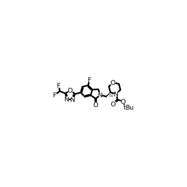 CC(C)(C)OC(=O)N1CCOC[C@@H]1CN1Cc2c(F)cc(-c3nnc(C(F)F)o3)cc2C1=O